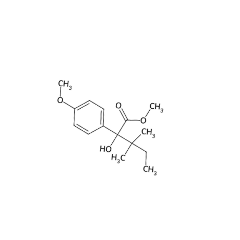 CCC(C)(C)C(O)(C(=O)OC)c1ccc(OC)cc1